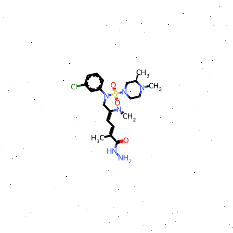 C=N/C(=C\C=C(/C)C(=O)NN)CN(c1cccc(Cl)c1)S(=O)(=O)N1CCN(C)[C@H](C)C1